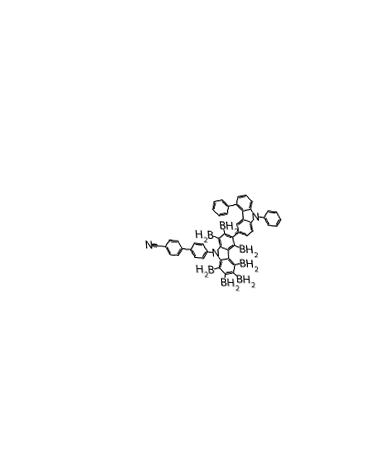 Bc1c(B)c(B)c2c(c1B)c1c(B)c(-c3ccc4c(c3)c3c(-c5ccccc5)cccc3n4-c3ccccc3)c(B)c(B)c1n2-c1ccc(-c2ccc(C#N)cc2)cc1